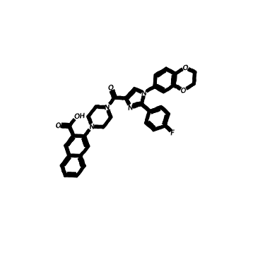 O=C(O)c1cc2ccccc2cc1N1CCN(C(=O)c2cn(-c3ccc4c(c3)OCCO4)c(-c3ccc(F)cc3)n2)CC1